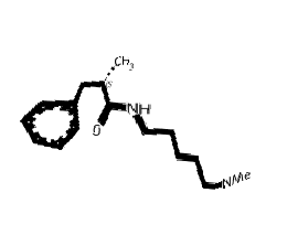 CNCCCCCNC(=O)[C@@H](C)Cc1ccccc1